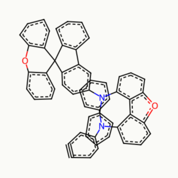 c1ccc(N(c2ccccc2)c2cccc3oc4cccc(N(c5ccccc5)c5ccc6c(c5)-c5ccccc5C65c6ccccc6Oc6ccccc65)c4c23)cc#1